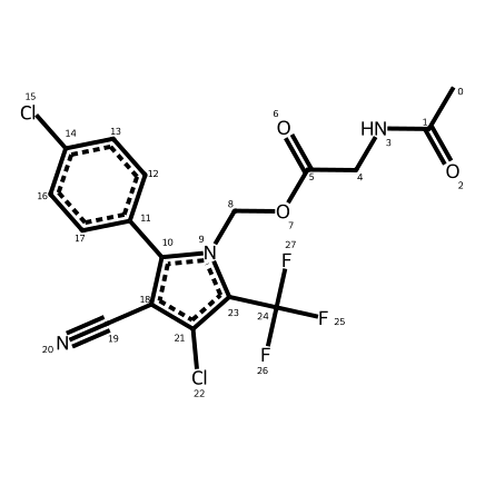 CC(=O)NCC(=O)OCn1c(-c2ccc(Cl)cc2)c(C#N)c(Cl)c1C(F)(F)F